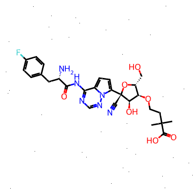 CC(C)(CCO[C@H]1[C@@H](O)[C@](C#N)(c2ccc3c(NC(=O)[C@@H](N)Cc4ccc(F)cc4)ncnn23)O[C@@H]1CO)C(=O)O